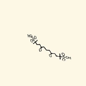 CC(C)(CCC(=O)CCCC(=O)CCC(C)(C)S(=O)(=O)O)S(=O)(=O)O